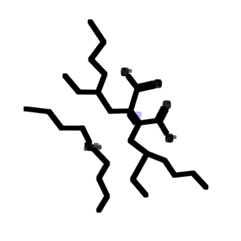 CCCCC(CC)C/C(C(=O)[O-])=C(\CC(CC)CCCC)C(=O)[O-].CCC[CH2][Sn+2][CH2]CCC